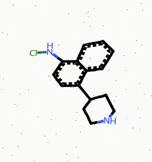 ClNc1ccc(C2CCNCC2)c2ccccc12